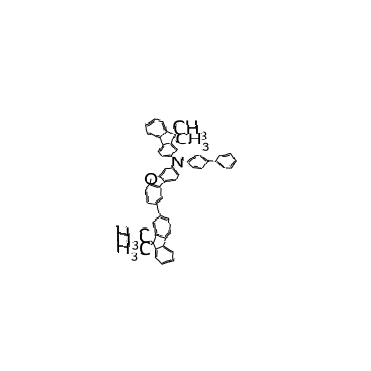 CC1(C)c2ccccc2-c2ccc(-c3ccc4oc5cc(N(c6ccc(-c7ccccc7)cc6)c6ccc7c(c6)C(C)(C)c6ccccc6-7)ccc5c4c3)cc21